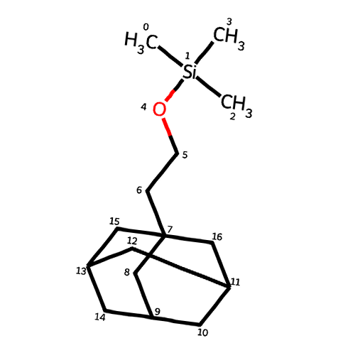 C[Si](C)(C)OCCC12CC3CC(CC(C3)C1)C2